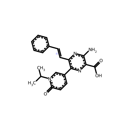 CC(C)n1cc(-c2nc(C(=O)O)c(N)nc2/C=C/c2ccccc2)ccc1=O